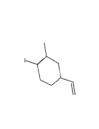 C=CC1CCC(I)C(C)C1